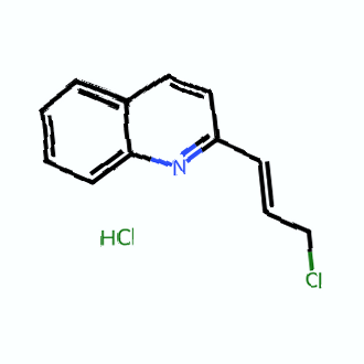 Cl.ClCC=Cc1ccc2ccccc2n1